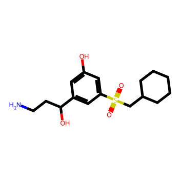 NCCC(O)c1cc(O)cc(S(=O)(=O)CC2CCCCC2)c1